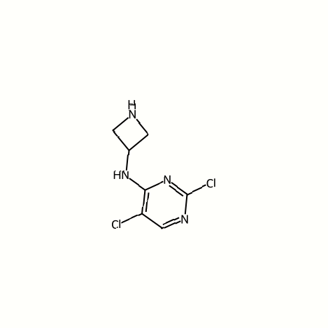 Clc1ncc(Cl)c(NC2CNC2)n1